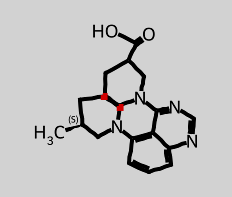 C[C@H]1CCCN(c2cccc3ncnc(N4CCCC(C(=O)O)C4)c23)C1